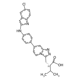 CC(C)[C@H](Cc1nnc2cc(-c3ccc(Nc4nc5ccc(Cl)cc5s4)cc3)ccn12)C(=O)O